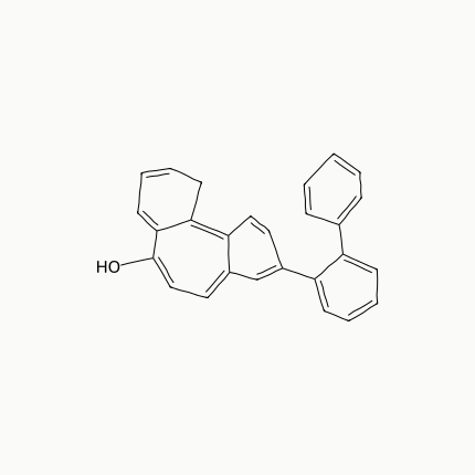 OC1=CC=c2cc(-c3ccccc3-c3ccccc3)ccc2=C2CC=CC=C12